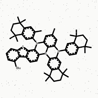 Cc1cc2c3c(c1)N(c1cc4c(cc1C)C(C)(C)CCC4(C)C)c1c(ccc4c1sc1cccc(C(C)(C)C)c14)B3c1cc3c(cc1N2c1ccc2c(c1)C(C)(C)CCC2(C)C)C(C)(C)CCC3(C)C